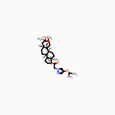 COC[C@]12CC[C@@](C)(O)C[C@H]1CC[C@H]1[C@@H]3CC[C@H](C(=O)Cn4cc(OC(C)C)cn4)[C@@]3(C)CC[C@@H]12